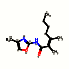 CCCCC(C)=C(C)C(=O)Nc1nc(C)co1